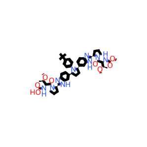 COC(=O)N[C@H](C(=O)N1CCC[C@H]1c1nc2ccc([C@@H]3CC[C@@H](c4ccc5nc([C@@H]6CCCN6C(=O)[C@@H](NC(=O)O)[C@@H](C)OC)[nH]c5c4)N3c3ccc(C(C)(C)C)cc3)cc2[nH]1)[C@@H](C)OC